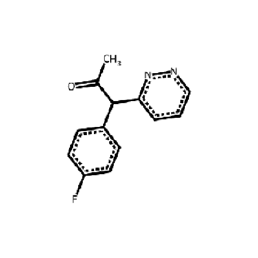 CC(=O)C(c1ccc(F)cc1)c1cccnn1